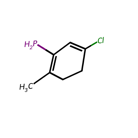 CC1=C(P)C=C(Cl)CC1